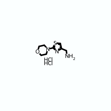 Cl.Cl.NCc1csc(N2CCOCC2)n1